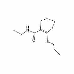 CCCSC1=C(C(=O)NCC)CCCC1